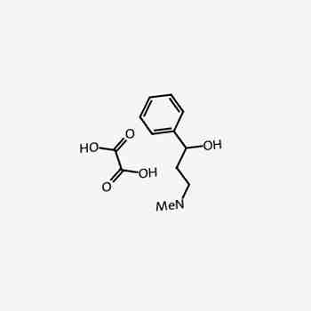 CNCCC(O)c1ccccc1.O=C(O)C(=O)O